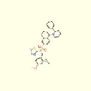 COc1ccc(CN(c2ncns2)S(=O)(=O)c2ccc3c(c2)CCCC3N2CCCC[C@@H]2c2ccccc2)c(OC)c1